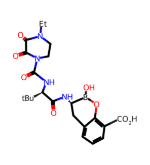 CCN1CCN(C(=O)N[C@@H](C(=O)N[C@H]2Cc3cccc(C(=O)O)c3OB2O)C(C)(C)C)C(=O)C1=O